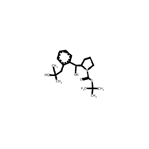 CC(C)(O)Cc1ccccc1C(O)C1CCCN1C(=O)OC(C)(C)C